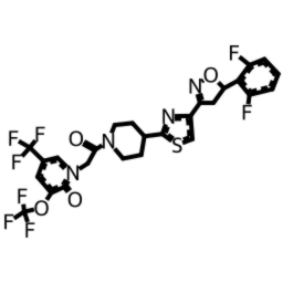 O=C(Cn1cc(C(F)(F)F)cc(OC(F)(F)F)c1=O)N1CCC(c2nc(C3=NOC(c4c(F)cccc4F)C3)cs2)CC1